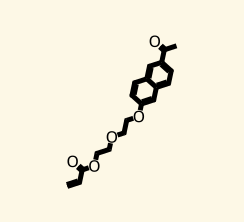 C=CC(=O)OCCOCCOc1ccc2cc(C(C)=O)ccc2c1